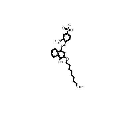 CCCCCCCCCCCCCCCCCCOc1cc(N=Nc2ccc(S(=O)(=O)CC)cc2[N+](=O)[O-])c2ccccc2c1O